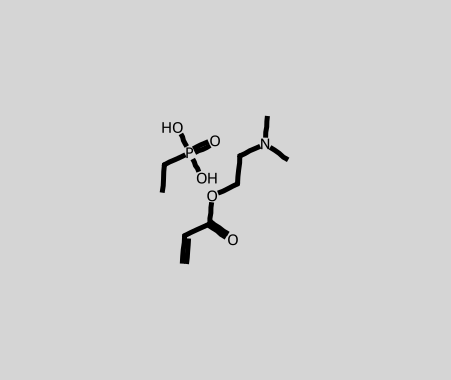 C=CC(=O)OCCN(C)C.CCP(=O)(O)O